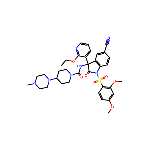 CCOc1ncccc1C1(NC(=O)N2CCC(N3CCN(C)CC3)CC2)C(=O)N(S(=O)(=O)c2ccc(OC)cc2OC)c2ccc(C#N)cc21